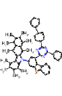 Bc1c(B)c(B)c2c(B)c3c(c(B)c2c1B)c1c(B)c(B)c(B)c(B)c1n3-c1cc(-c2nc(-c3ccccc3)nc(-c3ccc(-c4ccccc4)cc3)n2)c2c(c1)sc1ccccc12